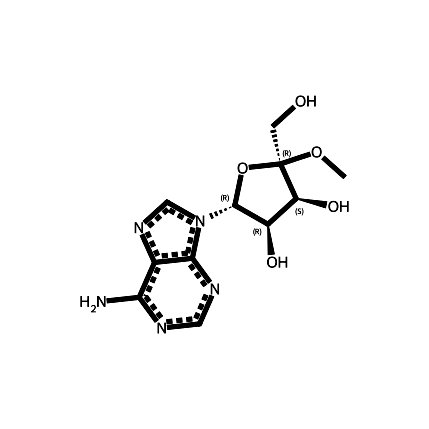 CO[C@]1(CO)O[C@@H](n2cnc3c(N)ncnc32)[C@H](O)[C@@H]1O